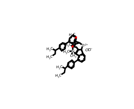 CCCC1=C2c3c(-c4ccc(C(C)CC)cc4)cccc3[CH]1[Zr+2][CH]1C(CCC)=C(c3c(-c4ccc(C(C)CC)cc4)cccc31)[Si]2(C)C.[Cl-].[Cl-]